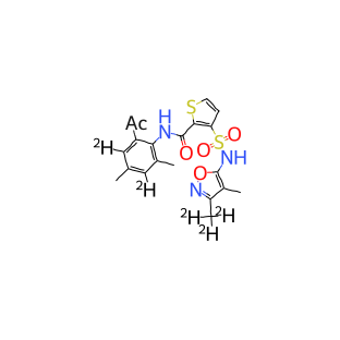 [2H]c1c(C)c([2H])c(C(C)=O)c(NC(=O)c2sccc2S(=O)(=O)Nc2onc(C([2H])([2H])[2H])c2C)c1C